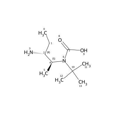 CC[C@@H](N)[C@H](C)N(C(=O)O)C(C)(C)C